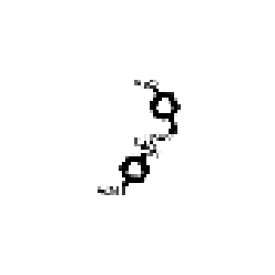 COc1ccc(/C=N\NS(=O)(=O)c2ccc(NC(C)=O)cc2)cc1